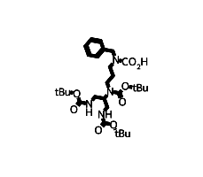 CC(C)(C)OC(=O)NCC(CNC(=O)OC(C)(C)C)N(CCCN(Cc1ccccc1)C(=O)O)C(=O)OC(C)(C)C